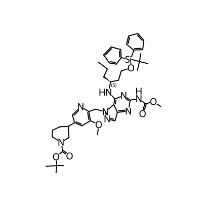 CCC[C@@H](CCO[Si](c1ccccc1)(c1ccccc1)C(C)(C)C)Nc1nc(NC(=O)OC)nc2cnn(Cc3ncc(C4CCCN(C(=O)OC(C)(C)C)C4)cc3OC)c12